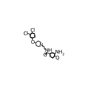 COc1ccc(C(=O)NCCN2CCC(Oc3ccc(Cl)c(Cl)c3)CC2)cc1N